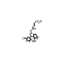 CCOC(=O)/C=C/CNCCCN1c2cc(Cl)ccc2COc2ccccc21